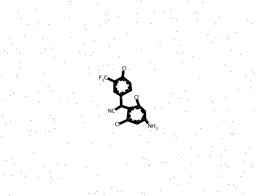 N#CC(c1ccc(Cl)c(C(F)(F)F)c1)c1c(Cl)cc(N)cc1Cl